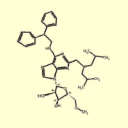 COC[C@H]1O[C@@H](n2cnc3c(NCC(c4ccccc4)c4ccccc4)nc(CN(CC(C)C)CC(C)C)nc32)[C@H](O)[C@@H]1O